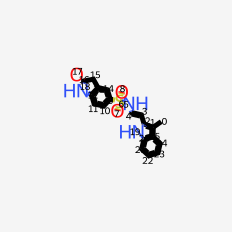 Cc1c(C=CNS(=O)(=O)c2ccc3c(c2)CC(=O)N3)[nH]c2ccccc12